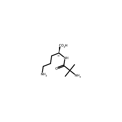 CC(C)(N)C(=O)N[C@@H](CCCN)C(=O)O